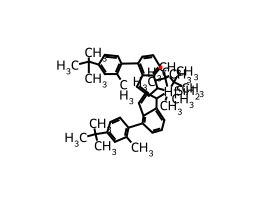 Cc1cc(C(C)(C)C)ccc1-c1cccc2c1C=C[CH]2[Hf]([CH3])([CH3])(=[SiH2])([CH]1C=Cc2c(-c3ccc(C(C)(C)C)cc3C)cccc21)([C](C)(C)C)[C](C)(C)C